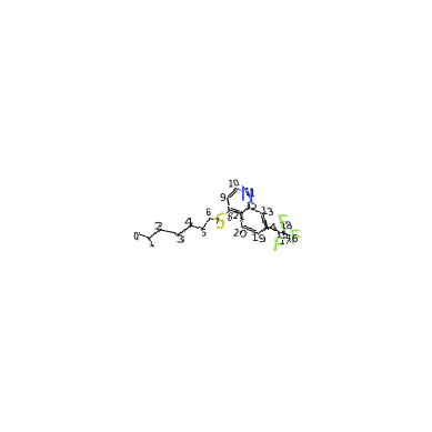 CCCCCCCSc1ccnc2cc(C(F)(F)F)ccc12